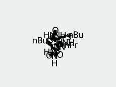 CCCCSCCCCC1(Sc2nc(NCCC)nc(SC3(CCCCSCCCC)NC(=O)NC3=O)n2)NC(=O)NC1=O